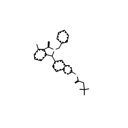 O=C(CC(O)(C(F)(F)F)C(F)(F)F)Nc1nc2cc(C3c4cccc(O)c4C(=O)N3Cc3ccccc3)ccc2[nH]1